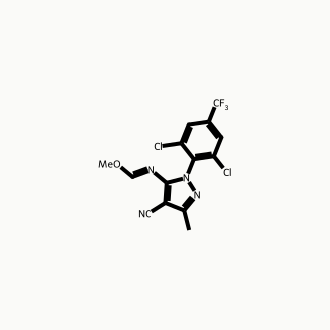 COC=Nc1c(C#N)c(C)nn1-c1c(Cl)cc(C(F)(F)F)cc1Cl